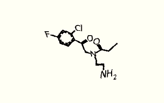 CCC(=O)N(CCN)CC(=O)c1ccc(F)cc1Cl